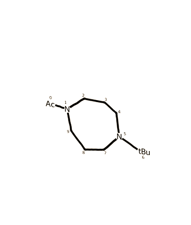 CC(=O)N1CCCN(C(C)(C)C)CCC1